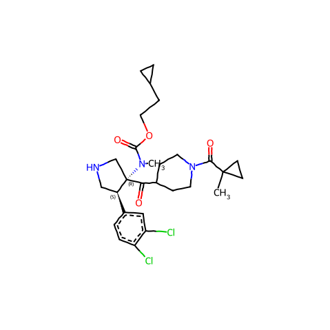 CN(C(=O)OCCC1CC1)[C@@]1(C(=O)C2CCN(C(=O)C3(C)CC3)CC2)CNC[C@@H]1c1ccc(Cl)c(Cl)c1